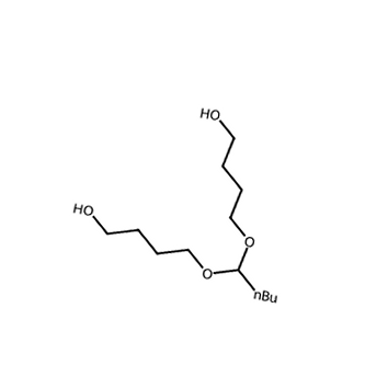 CCCCC(OCCCCO)OCCCCO